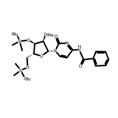 CO[C@@H]1[C@H](O[Si](C)(C)C(C)(C)C)[C@@H](CO[Si](C)(C)C(C)(C)C)O[C@H]1n1ccc(NC(=O)c2ccccc2)nc1=O